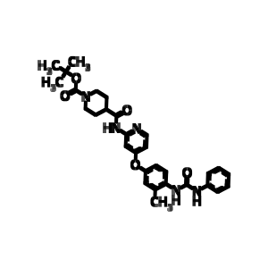 Cc1cc(Oc2ccnc(NC(=O)C3CCN(C(=O)OC(C)(C)C)CC3)c2)ccc1NC(=O)Nc1ccccc1